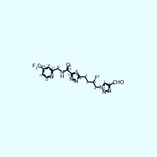 O=Cc1cn(CC(F)CCc2nnc(C(=O)NCc3cc(C(F)(F)F)ccn3)s2)nn1